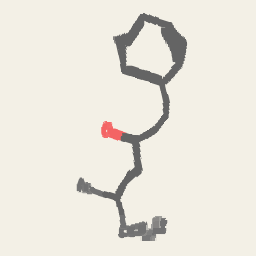 CCOC(=O)C(CC(=O)Cc1ccccc1)C(C)=O